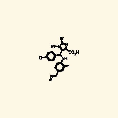 C=NCc1ccc(NC(c2ccc(Cl)cc2)c2c(C(=O)O)nc(Br)n2C(C)C)c(C)c1